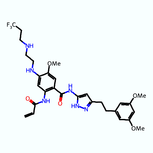 C=CC(=O)Nc1cc(NCCNCCC(F)(F)F)c(OC)cc1C(=O)Nc1cc(CCc2cc(OC)cc(OC)c2)n[nH]1